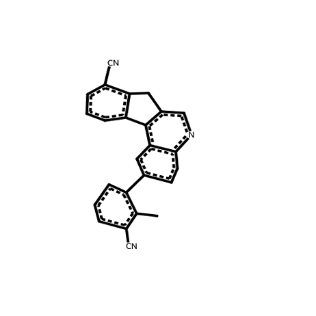 Cc1c(C#N)cccc1-c1ccc2ncc3c(c2c1)-c1cccc(C#N)c1C3